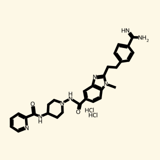 Cl.Cl.Cn1c(CCc2ccc(C(=N)N)cc2)nc2cc(C(=O)NN3CCC(NC(=O)c4ccccn4)CC3)ccc21